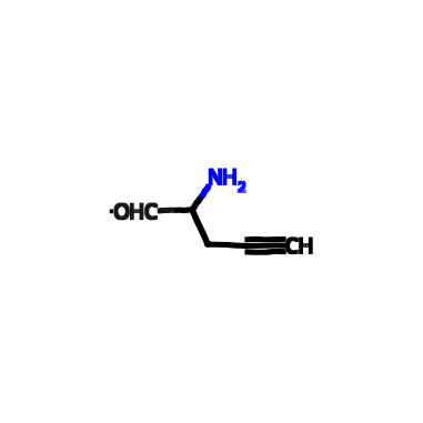 C#CCC(N)[C]=O